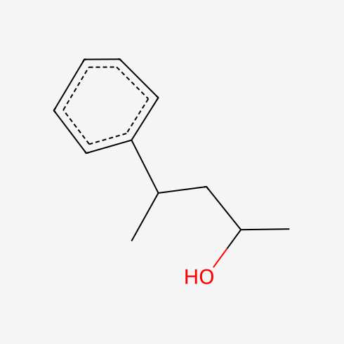 CC(O)CC(C)c1ccccc1